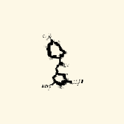 O=C(O)c1cc(CC(=O)c2ccc([N+](=O)[O-])cc2)cc(C(=O)O)c1